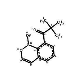 CC(C)(C)C(=O)c1cccc2c1B(O)OC=C2